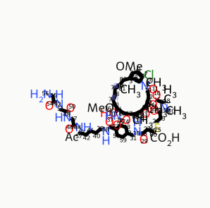 COc1cc2cc(c1Cl)N(C)C(=O)C[C@H](OC(=O)[C@H](C)N(C)C(=O)CCS[C@@H](CC(=O)NCC1CCC(C(=O)NCCCCC(NC(=O)CNC(=O)CNC(=O)CN)C(C)=O)CC1)C(=O)O)[C@]1(C)O[C@H]1[C@H](C)C1C[C@@](O)(NC(=O)O1)[C@H](OC)/C=C/C=C(\C)C2